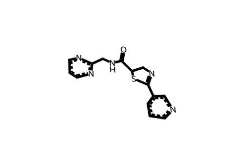 O=C(NCc1ncccn1)C1CN=C(c2cccnc2)S1